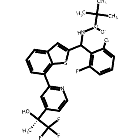 CC(C)(C)[S+]([O-])NC(c1cc2cccc(-c3cc([C@](C)(O)C(F)(F)F)ccn3)c2s1)c1c(F)cccc1Cl